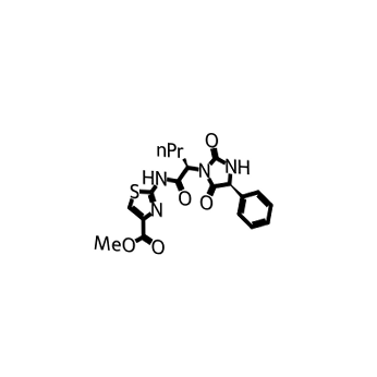 CCC[C@H](C(=O)Nc1nc(C(=O)OC)cs1)N1C(=O)N[C@@H](c2ccccc2)C1=O